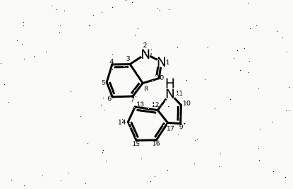 C1=N[N]c2ccccc21.[c]1c[nH]c2ccccc12